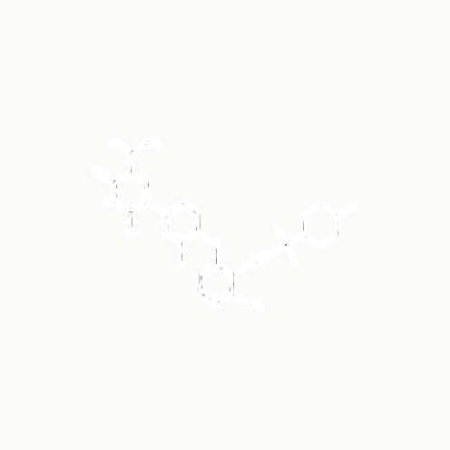 CN1CCN(C(C)(C)C#Cc2c(Oc3ccc(-n4cc(C(N)=O)c(=O)[nH]c4=O)cc3F)ccnc2N)CC1